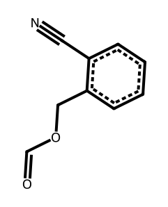 N#Cc1ccccc1COC=O